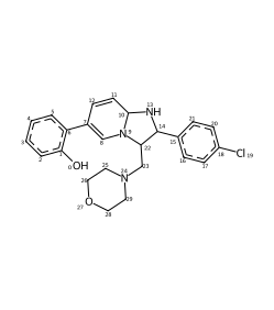 Oc1ccccc1C1=CN2C(C=C1)NC(c1ccc(Cl)cc1)C2CN1CCOCC1